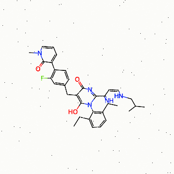 CCc1cccc(CC)c1-n1c(C(=N)/C=C\NCC(C)C)nc(=O)c(Cc2ccc(-c3cccn(C)c3=O)c(F)c2)c1O